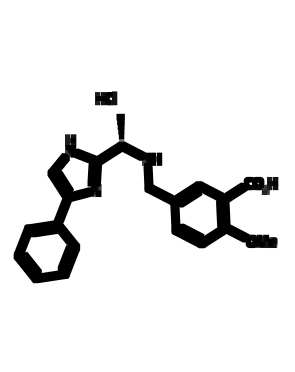 COc1ccc(CN[C@@H](C)c2nc(-c3ccccc3)c[nH]2)cc1C(=O)O.Cl